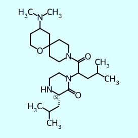 CC(C)CC(C(=O)N1CCC2(CC1)CC(N(C)C)CCO2)N1CCN[C@@H](CC(C)C)C1=O